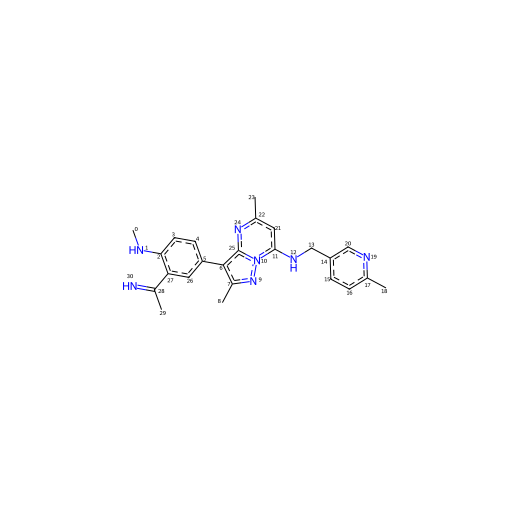 CNc1ccc(-c2c(C)nn3c(NCc4ccc(C)nc4)cc(C)nc23)cc1C(C)=N